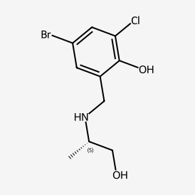 C[C@@H](CO)NCc1cc(Br)cc(Cl)c1O